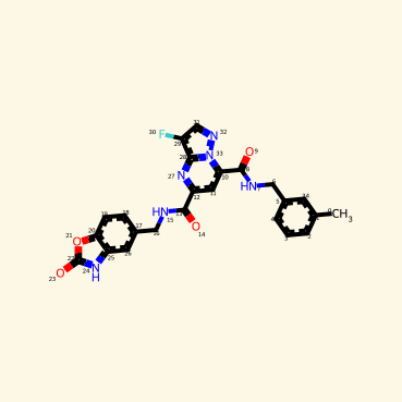 Cc1cccc(CNC(=O)c2cc(C(=O)NCc3ccc4oc(=O)[nH]c4c3)nc3c(F)cnn23)c1